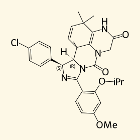 COc1ccc(C2=N[C@@H](c3ccc(Cl)cc3)[C@@H]3N2C(=O)N2CC(=O)NC4=C2C3(C)C=CC4(C)C)c(OC(C)C)c1